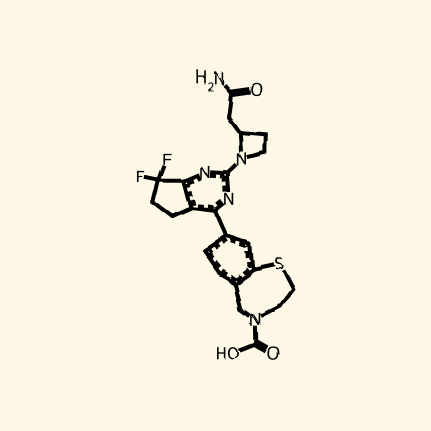 NC(=O)CC1CCN1c1nc(-c2ccc3c(c2)SCCN(C(=O)O)C3)c2c(n1)C(F)(F)CC2